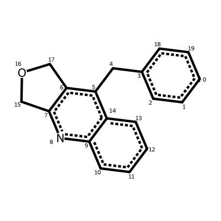 [c]1ccc(Cc2c3c(nc4ccccc24)COC3)cc1